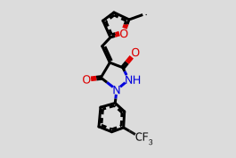 [CH2]c1ccc(/C=C2\C(=O)NN(c3cccc(C(F)(F)F)c3)C2=O)o1